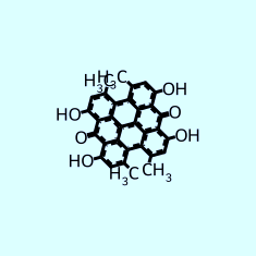 Cc1cc(O)c2c(=O)c3c(O)cc(C)c4c5c(C)cc(O)c6c(=O)c7c(O)cc(C)c8c1c2c(c34)c(c78)c65